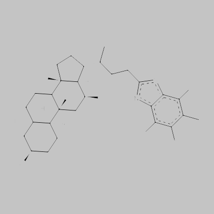 Cc1c(F)c(F)c2nc(CCC(C)[C@H]3CC[C@H]4[C@@H]5CC[C@@H]6C[C@H](O)CC[C@]6(C)[C@H]5C[C@H](O)[C@]34C)sc2c1F